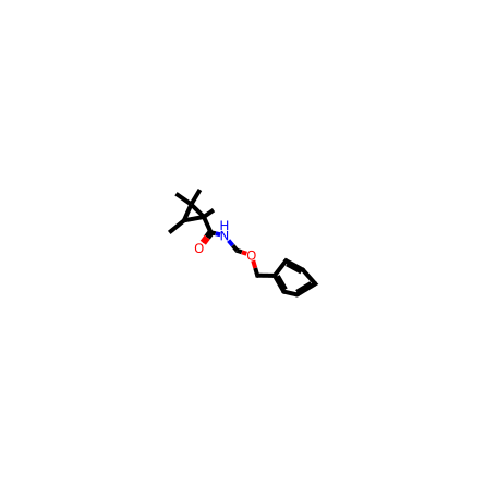 CC1C(C)(C)C1(C)C(=O)NCOCc1ccccc1